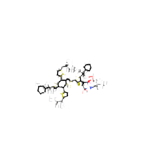 CCCCC(CC)Cc1ccc(-c2c3cc(C(C)(CCC)c4ccccc4)sc3c(-c3ccc(CC(CC)CCCC)s3)c3cc(-c4sc(C(C)(CCC)c5ccccc5)c5c6c(sc45)C(=O)N(CC(CC)CCCC)C6=O)sc23)s1